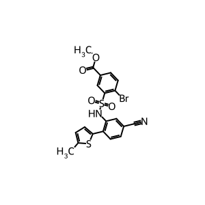 COC(=O)c1ccc(Br)c(S(=O)(=O)Nc2cc(C#N)ccc2-c2ccc(C)s2)c1